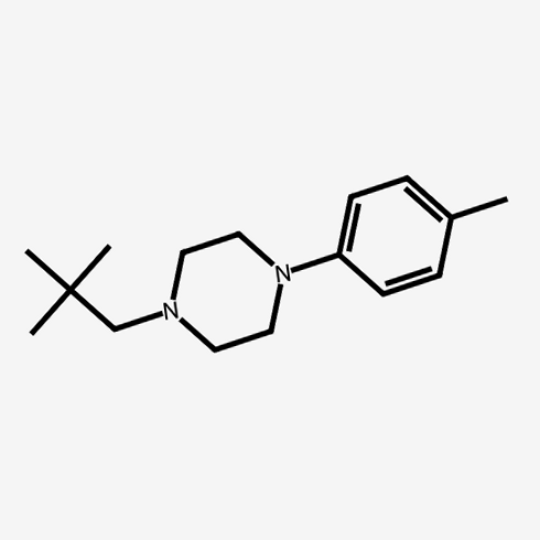 Cc1ccc(N2CCN(CC(C)(C)C)CC2)cc1